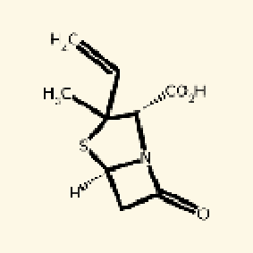 C=CC1(C)S[C@@H]2CC(=O)N2[C@H]1C(=O)O